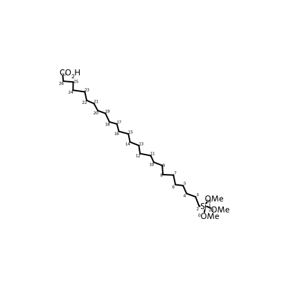 CO[Si](CCCCCCCCCCCCCCCCCCCCCCCCCC(=O)O)(OC)OC